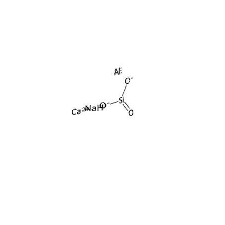 O=[Si]([O-])[O-].[Al].[Ca+2].[NaH]